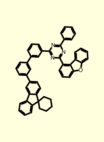 c1ccc(-c2nc(-c3cccc(-c4cccc(-c5ccc6c(c5)-c5ccccc5C65CCCCC5)c4)c3)nc(-c3cccc4oc5ccccc5c34)n2)cc1